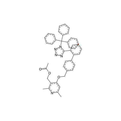 CC(=O)OCc1c(OCc2ccc(-c3ccccc3-c3nnnn3C(c3ccccc3)(c3ccccc3)c3ccccc3)cc2)cc(C)nc1C